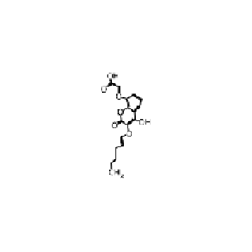 CCCCC=COc1c(O)c2cccc(OCC(=O)O)c2oc1=O